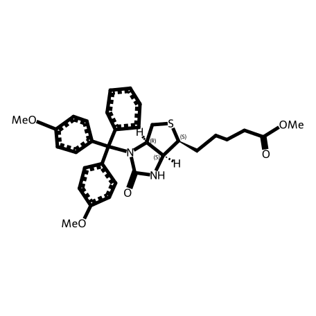 COC(=O)CCCC[C@@H]1SC[C@H]2[C@@H]1NC(=O)N2C(c1ccccc1)(c1ccc(OC)cc1)c1ccc(OC)cc1